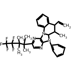 C=CC1c2ccccc2N2c3nc(C(C)(C)C(C)(C)C(F)(F)C(F)(F)F)cnc3N(c3ccccc3)C2C1C